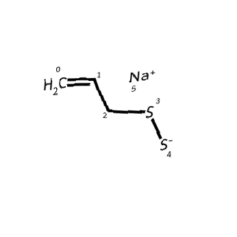 C=CCS[S-].[Na+]